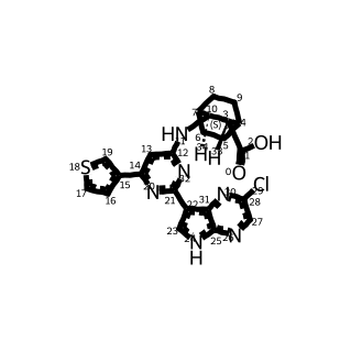 O=C(O)[C@H]1C2CCC(CC2)[C@@H]1Nc1cc(-c2ccsc2)nc(-c2c[nH]c3ncc(Cl)nc23)n1